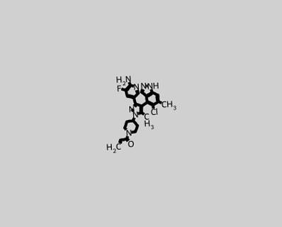 C=CC(=O)N1CCC(n2nc(-c3cnc(N)c(F)c3)c(-c3c(Cl)c(C)cc4[nH]ncc34)c2C)CC1